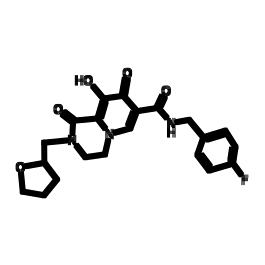 O=C(NCc1ccc(F)cc1)c1cn2c(c(O)c1=O)C(=O)N(CC1CCCO1)CC2